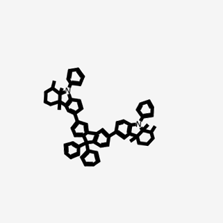 CC1CCCC2(C)c3cc(-c4ccc5c(c4)-c4cc(-c6ccc7c(c6)C6(C)CCCC(C)C6(C)N7c6ccccc6)ccc4C5(c4ccccc4)c4ccccc4)ccc3N(c3ccccc3)C12C